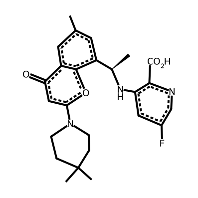 Cc1cc([C@@H](C)Nc2cc(F)cnc2C(=O)O)c2oc(N3CCC(C)(C)CC3)cc(=O)c2c1